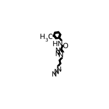 Cc1cccc(CNC(=O)c2cn(CCCCN=[N+]=[N-])nn2)c1